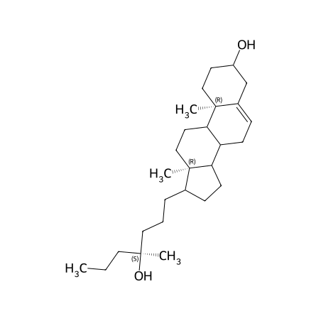 CCC[C@](C)(O)CCCC1CCC2C3CC=C4CC(O)CC[C@]4(C)C3CC[C@]12C